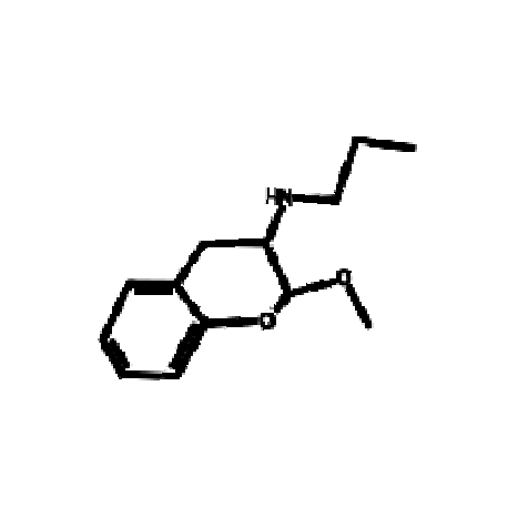 CCCNC1Cc2ccccc2OC1OC